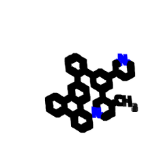 CC1C=CN=CC1C1=CC(c2cccnc2)=CC(c2ccccc2-c2ccc3c4ccccc4c4ccccc4c3c2)C1